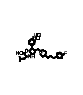 CC(C)C[C@H](NC1CC(CN2CCC(CCCc3ccc(F)cc3)CC2)C(c2ccccc2)C1)C(=O)O.Cl.Cl